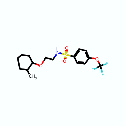 CC1CCCCC1OCCNS(=O)(=O)c1ccc(OC(F)(F)F)cc1